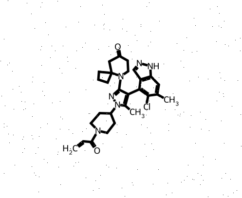 C=CC(=O)N1CCC(n2nc(N3CCC(=O)CC34CCC4)c(-c3c(Cl)c(C)cc4[nH]ncc34)c2C)CC1